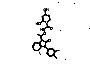 C/C(ONC(=O)C1CC=C(O)C=C1O)=C1/C(=O)N(c2ccc(C)c(C)c2)C2=C1C=CC[C@H]2C